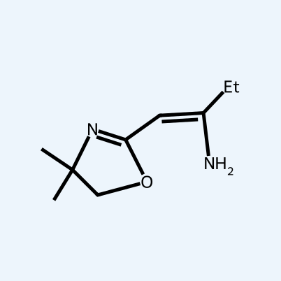 CCC(N)=CC1=NC(C)(C)CO1